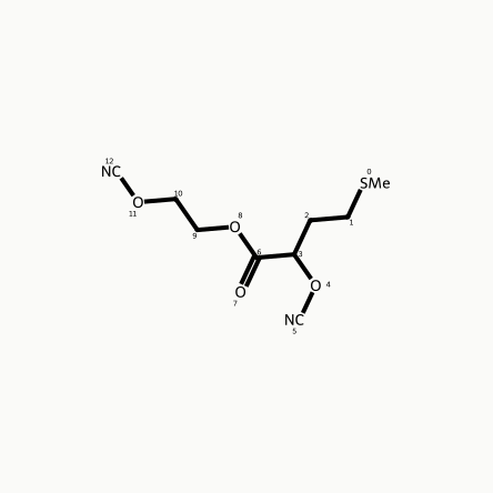 CSCCC(OC#N)C(=O)OCCOC#N